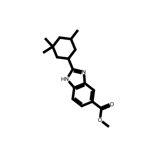 COC(=O)c1ccc2[nH]c(C3CC(C)CC(C)(C)C3)nc2c1